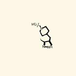 O=C(O)N1CCC(Cc2c[nH]nc2I)CC1